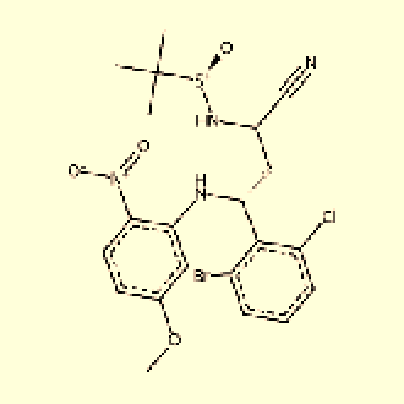 COc1ccc([N+](=O)[O-])c(N[C@H](CC(C#N)N[S@+]([O-])C(C)(C)C)c2c(Cl)cccc2Br)c1